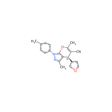 CC1=C(C#N)[C@@H](c2ccoc2)c2c(C)nn(-c3ccc(C)cc3)c2O1